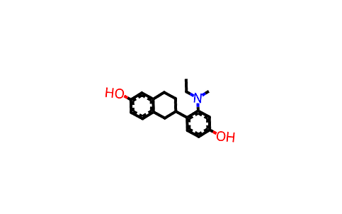 CCN(C)c1cc(O)ccc1C1CCc2cc(O)ccc2C1